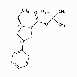 CC[C@@H]1C[C@H](c2ccccc2)CN1C(=O)OC(C)(C)C